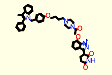 Cc1c(-c2ccccc2)n(Cc2ccc(OCCCCN3CCN(C(=O)COc4cccc5c(C6CCC(=O)NC6=O)nn(C)c45)CC3)cc2)c2ccccc12